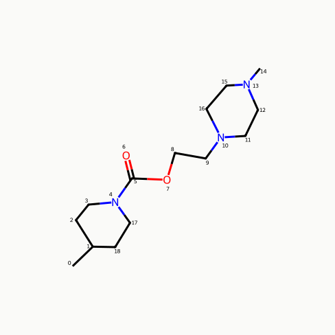 CC1CCN(C(=O)OCCN2CCN(C)CC2)CC1